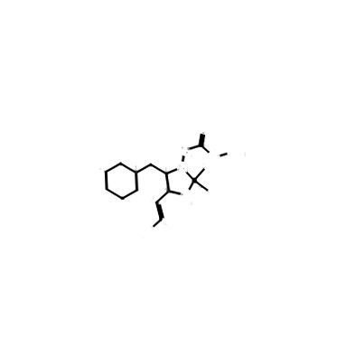 CC(C)(C)OC(=O)NN1C(CC2CCCCC2)C(C=CC(=O)O)OC1(C)C